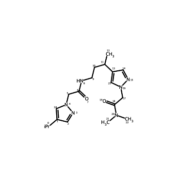 CC(C)c1cnn(CC(=O)NCCC(C)c2cnn(CC(=O)N(C)C)c2)c1